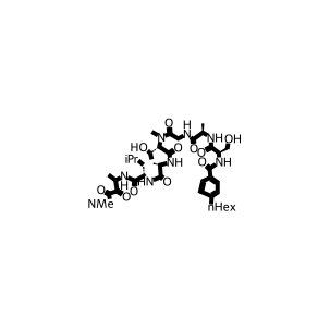 CCCCCCc1ccc(C(=O)N[C@H](CO)C(=O)N[C@H](C)C(=O)NCC(=O)N(C)[C@H](C(=O)N[C@@H](C)C(=O)N[C@@H](CC(C)C)C(=O)NC(C)C(=O)C(=O)NC)C(C)O)cc1